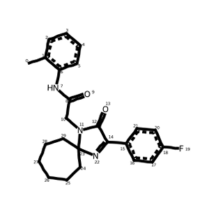 Cc1ccccc1NC(=O)CN1C(=O)C(c2ccc(F)cc2)=NC12CCCCCC2